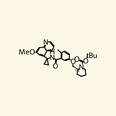 COc1cc(C2(NC(=O)c3cc(OC[C@@H]4CCCCN4C(=O)OC(C)(C)C)ccc3C)CC2)c2cccnc2c1